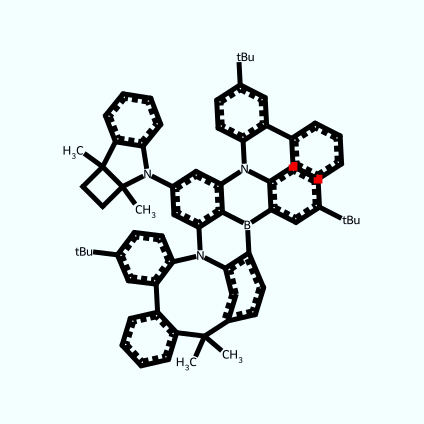 CC(C)(C)c1ccc2c(c1)B1c3ccc4cc3N(c3ccc(C(C)(C)C)cc3-c3ccccc3C4(C)C)c3cc(N4c5ccccc5C5(C)CCC45C)cc(c31)N2c1ccc(C(C)(C)C)cc1-c1ccccc1